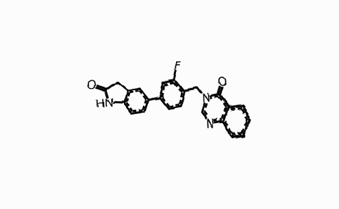 O=C1Cc2cc(-c3ccc(Cn4cnc5ccccc5c4=O)c(F)c3)ccc2N1